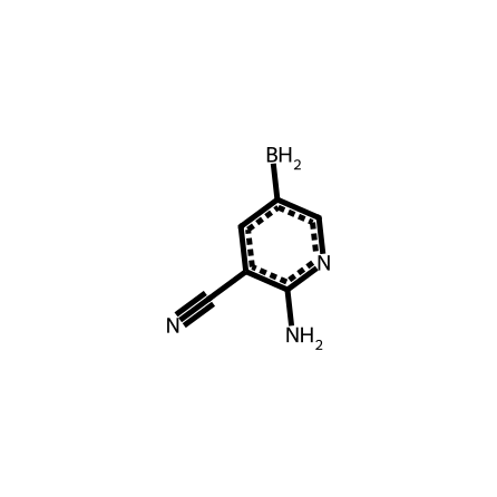 Bc1cnc(N)c(C#N)c1